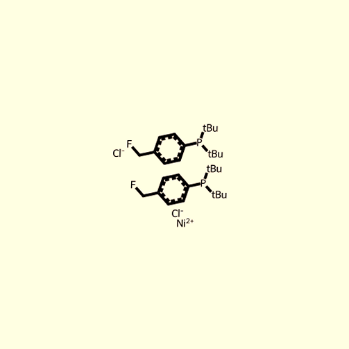 CC(C)(C)P(c1ccc(CF)cc1)C(C)(C)C.CC(C)(C)P(c1ccc(CF)cc1)C(C)(C)C.[Cl-].[Cl-].[Ni+2]